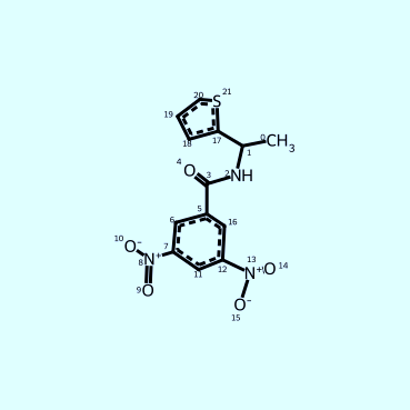 CC(NC(=O)c1cc([N+](=O)[O-])cc([N+](=O)[O-])c1)c1cccs1